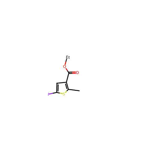 CCOC(=O)c1cc(I)sc1C